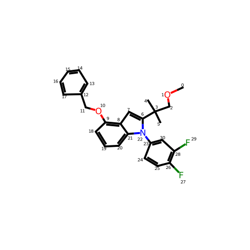 COCC(C)(C)c1cc2c(OCc3ccccc3)cccc2n1-c1ccc(F)c(F)c1